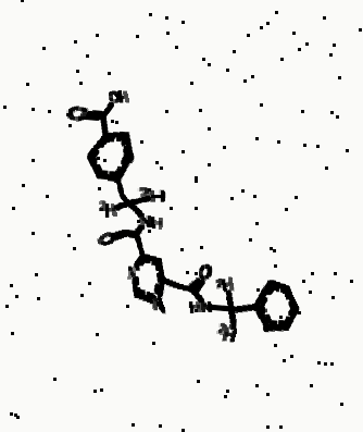 [2H]C([2H])(NC(=O)c1cc(C(=O)NC([2H])([2H])c2ccc(C(=O)O)cc2)ncn1)c1ccccc1